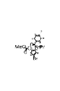 COC(=O)Oc1sc(Br)cc1N(C(=O)[C@H]1CC[C@H](C)CC1)C(C)C